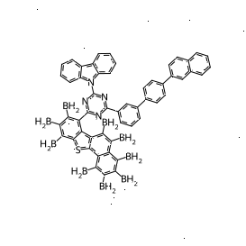 Bc1c(B)c(-c2nc(-c3cccc(-c4ccc(-c5ccc6ccccc6c5)cc4)c3)nc(-n3c4ccccc4c4ccccc43)n2)c2c(sc3c4c(B)c(B)c(B)c(B)c4c(B)c(B)c32)c1B